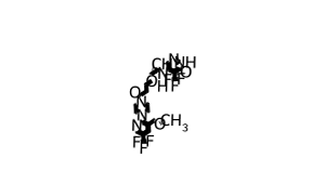 COCc1cc(C(F)(F)F)cnc1N1CCN(C(=O)CCOC[C@H](C)Nc2cn[nH]c(=O)c2C(F)(F)F)CC1